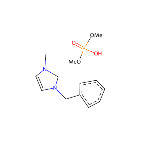 CN1C=CN(Cc2ccccc2)C1.COP(=O)(O)OC